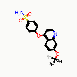 [2H]C([2H])([2H])Oc1ccc2c(Oc3ccc(S(N)(=O)=O)cc3)ccnc2c1